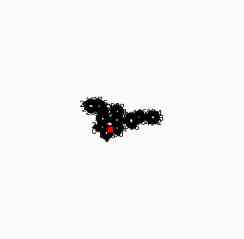 CC1(C)c2ccccc2-c2c1cc1c(oc3ccc4ccccc4c31)c2-c1c2ccccc2c(-c2ccc3cc(-c4ccccc4)ccc3c2)c2ccccc12